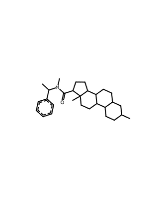 CC1CCC2C(CCC3C2CCC2(C)C(C(=O)N(C)C(C)c4ccccc4)CCC32)C1